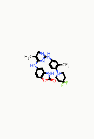 Cc1cnc(Nc2ccc(N3CCC(F)(F)CC3)c(C(F)(F)F)c2)nc1Nc1ccc2oc(=O)[nH]c2c1